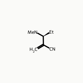 C=C(C#N)[C@H](CC)NC